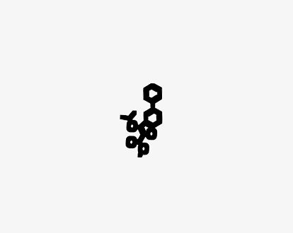 COC(=O)c1oc2ccc(-c3ccccc3)cc2c1OC(C)C